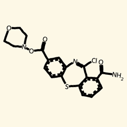 NC(=O)c1cccc2c1C(Cl)=Nc1cc(C(=O)ON3CCOCC3)ccc1S2